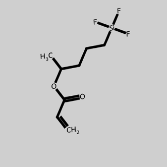 C=CC(=O)OC(C)CCC[Si](F)(F)F